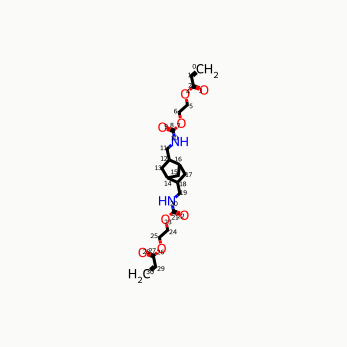 C=CC(=O)OCCOC(=O)NCC1CC2CC1CC2CNC(=O)OCCOC(=O)C=C